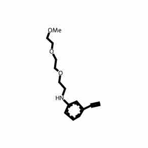 C#Cc1cccc(NCCOCCOCCOC)c1